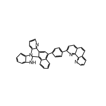 c1ccc2c(c1)NC1c3c(cc(-c4ccc(-c5ccc6ccc7cccnc7c6n5)cc4)c4ccccc34)-c3ncccc3N21